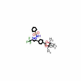 CC1(C)OB(c2ccc(-c3cc(C(F)(F)F)nn3NS(=O)(=O)c3ccccc3)cc2)OC1(C)C